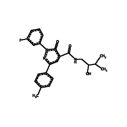 Cc1ccc(-c2cc(C(=O)NCC(O)C(C)C)c(=O)n(-c3cccc(F)c3)n2)cc1